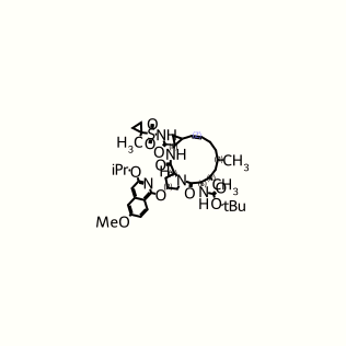 COc1ccc2c(O[C@@H]3C[C@H]4C(=O)N[C@]5(C(=O)NS(=O)(=O)C6(C)CC6)CC5/C=C\CC[C@@H](C)C[C@@H](C)[C@H](NC(=O)OC(C)(C)C)C(=O)N4C3)nc(OC(C)C)cc2c1